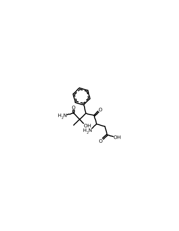 CC(O)(C(N)=O)C(C(=O)C(N)CC(=O)O)c1ccccc1